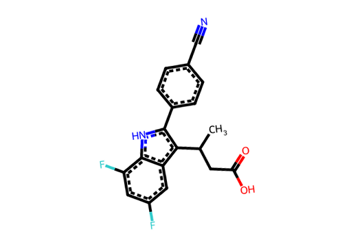 CC(CC(=O)O)c1c(-c2ccc(C#N)cc2)[nH]c2c(F)cc(F)cc12